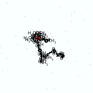 CC[C@H](C)C([C@@H](CC(=O)N1C[C@@H](NC(=O)OCc2ccc(NC(=O)C(CCCNC(N)=O)NC(=O)[C@@H](NC(=O)CCCCCN3C(=O)CC(SCC4(CC(=O)ON5C(=O)CCC5=O)CC4)C3=O)C(C)C)cc2)C[C@H]1[C@H](OC)[C@@H](C)C(=O)NCC(=O)c1cccc(OC)c1)OC)N(C)C(=O)[C@@H](NC(=O)[C@H](C(C)C)N(C)C)C(C)C